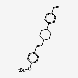 C=Cc1ccc(C2CCC(/C=C/c3ccc(OC(C)(C)C)cc3)CC2)cc1